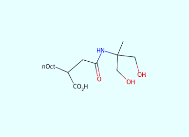 CCCCCCCCC(CC(=O)NC(C)(CO)CO)C(=O)O